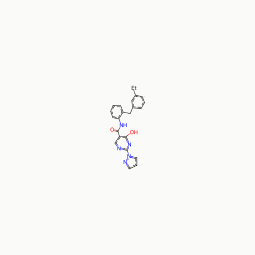 CCc1[c]ccc(Cc2ccccc2NC(=O)c2cnc(-n3cccn3)nc2O)c1